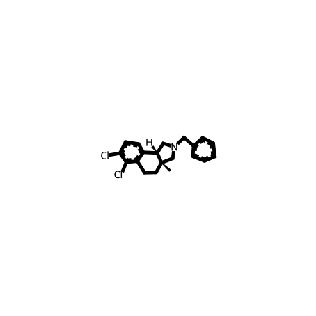 C[C@@]12CCc3c(ccc(Cl)c3Cl)[C@@H]1CN(Cc1ccccc1)C2